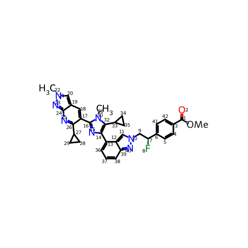 COC(=O)c1ccc([C@@H](F)Cn2cc3c(-c4nc(-c5cc6cn(C)nc6nc5C5CC5)n(C)c4C4CC4)cccc3n2)cc1